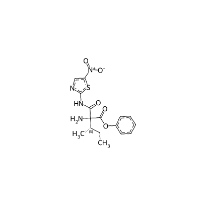 CC[C@H](C)C(N)(C(=O)Nc1ncc([N+](=O)[O-])s1)C(=O)Oc1ccccc1